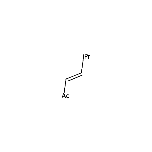 CC(=O)/C=C/C(C)C